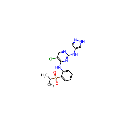 CC(C)S(=O)(=O)c1ccccc1Nc1nc(Nc2cn[nH]c2)ncc1Cl